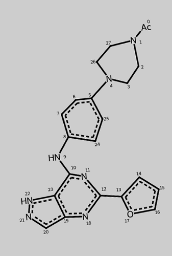 CC(=O)N1CCN(c2ccc(Nc3nc(-c4ccco4)nc4cn[nH]c34)cc2)CC1